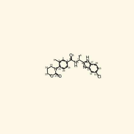 Cc1cc(C(=O)N[C@@H](C)c2nc3cc(Cl)ccc3[nH]2)ccc1N1CCCOC1=O